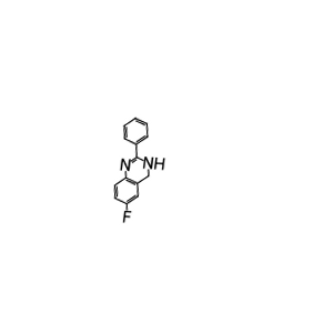 Fc1ccc2c(c1)CNC(c1ccccc1)=N2